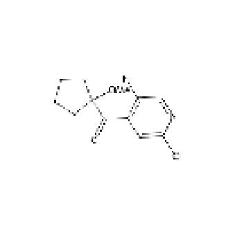 COC1(C(=O)c2cc(Cl)ncc2F)CCCC1